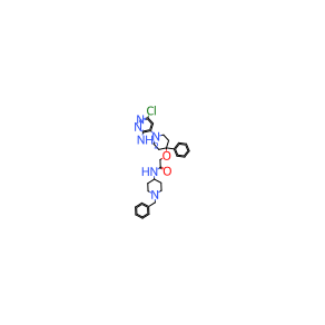 Nc1nnc(Cl)cc1N1CCC(OCC(=O)NC2CCN(Cc3ccccc3)CC2)(c2ccccc2)CC1